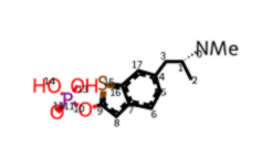 CN[C@H](C)Cc1ccc2cc(OP(=O)(O)O)sc2c1